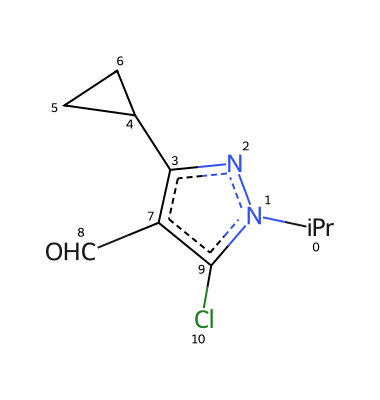 CC(C)n1nc(C2CC2)c(C=O)c1Cl